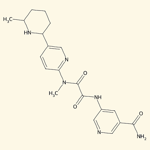 CC1CCCC(c2ccc(N(C)C(=O)C(=O)Nc3cncc(C(N)=O)c3)nc2)N1